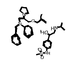 CC(C)COCC(CN(Cc1ccccc1)c1ccccc1)N1CCCC1.CC(C)NCC(O)c1ccc(NS(C)(=O)=O)cc1